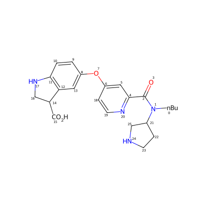 CCCCN(C(=O)c1cc(Oc2ccc3c(c2)C(C(=O)O)CN3)ccn1)C1CCNC1